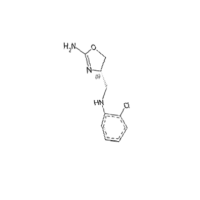 NC1=N[C@@H](CNc2ccccc2Cl)CO1